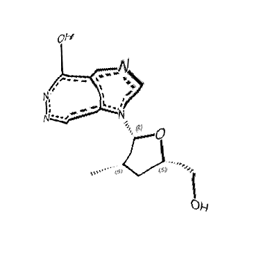 C[C@H]1C[C@@H](CO)O[C@H]1n1cnc2c(O)nncc21